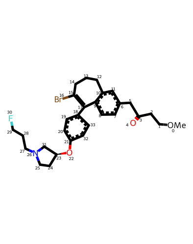 COCCC(=O)Cc1ccc2c(c1)CCCC(Br)=C2c1ccc(O[C@H]2CCN(CCCF)C2)cc1